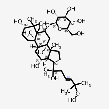 CC(C)(/C=C/C[C@](C)(O)[C@H]1CC[C@]2(C)[C@@H]1[C@H](O)C[C@@H]1[C@@]3(C)CC[C@H](O)C(C)(C)[C@@H]3[C@@H](O[C@@H]3O[C@H](CO)[C@@H](O)[C@H](O)[C@H]3O)C[C@]12C)OO